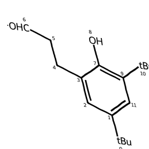 CC(C)(C)c1cc(CC[C]=O)c(O)c(C(C)(C)C)c1